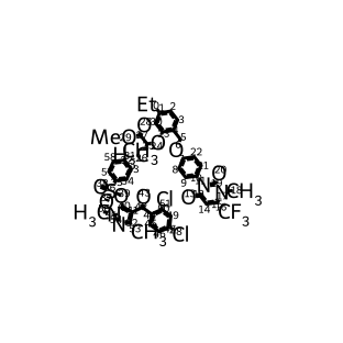 CCc1ccc(COc2ccc(-n3c(=O)cc(C(F)(F)F)n(C)c3=O)cc2)c(OC(C)C(=O)OC)c1.Cc1ccc(S(=O)(=O)Oc2c(C(=O)c3ccc(Cl)cc3Cl)c(C)nn2C)cc1